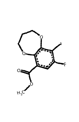 COC(=O)c1cc(F)c(I)c2c1OCCCO2